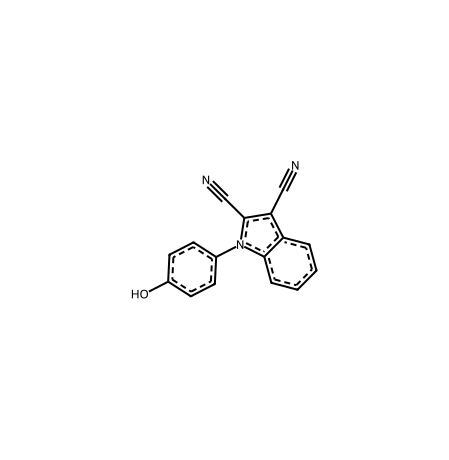 N#Cc1c(C#N)n(-c2ccc(O)cc2)c2ccccc12